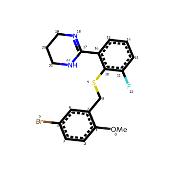 COc1ccc(Br)cc1CSc1c(F)cccc1C1=NCCCN1